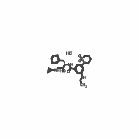 CCNc1cc(C(=O)N[C@@H](Cc2ccccc2)[C@H](O)CNC2CC2)cc(N2CCCCS2(=O)=O)c1.Cl